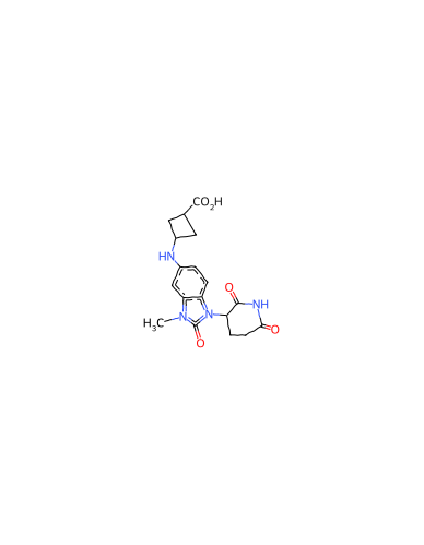 Cn1c(=O)n(C2CCC(=O)NC2=O)c2ccc(NC3CC(C(=O)O)C3)cc21